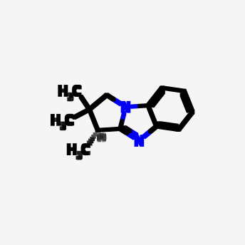 C[C@H]1c2nc3ccccc3n2CC1(C)C